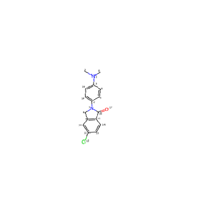 CN(C)c1ccc(N2Cc3cc(Cl)ccc3C2=O)cc1